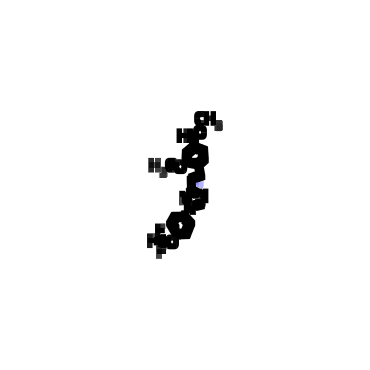 CONc1ccc(/C=C/c2ncn(-c3ccc(OC(F)(F)F)cc3)n2)c(OC)c1